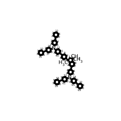 CC1(C)CC(C)(c2ccc(-c3ccc(N(c4ccc(-c5ccccc5)cc4)c4ccc(-c5ccccc5)cc4)cc3)cc2)c2cc(-c3ccc(N(c4ccc(-c5ccccc5)cc4)c4ccc(-c5ccccc5)cc4)cc3)ccc21